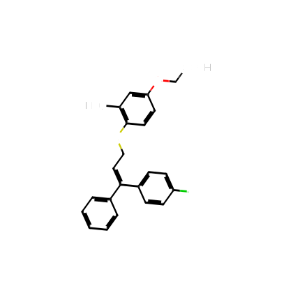 Cc1cc(OCC(=O)O)ccc1SC/C=C(/c1ccccc1)c1ccc(Cl)cc1